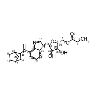 CCC(=O)OC[C@H]1O[C@@H](n2cnc3c(NC4CC5CCC4C5)ncnc32)[C@H](O)[C@@H]1O